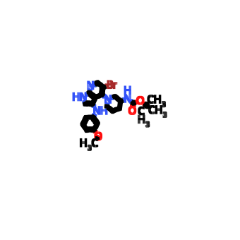 COc1cccc(Nc2c[nH]c3ncc(Br)c(N4CCCC(NC(=O)OC(C)(C)C)C4)c23)c1